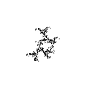 CCCNC(=O)CCN(CCNC(=O)CCN(CCNC(=O)CCN(CC)CCC(=O)NCCN(CCC(=O)NCCN(CCC(=O)NCCN)CCC(=O)NCCN)CCC(=O)NCCN(CCC(=O)NCCN)CCC(=O)NCCN)CCC(=O)NCCN(CCC(=O)NCCN)CCC(=O)NCCN)CCC(=O)NCCN